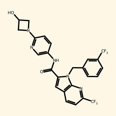 O=C(Nc1ccc(N2CC(O)C2)nc1)c1cc2ccc(C(F)(F)F)nc2n1Cc1cccc(C(F)(F)F)c1